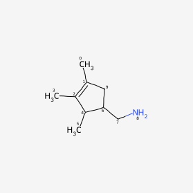 CC1=C(C)C(C)C(CN)C1